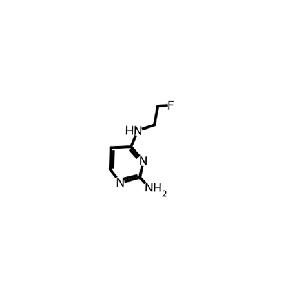 Nc1nccc(NCCF)n1